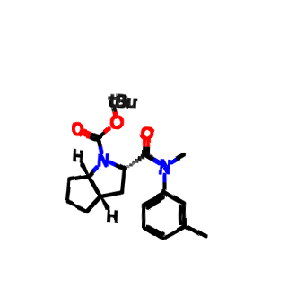 Cc1cccc(N(C)C(=O)[C@@H]2C[C@@H]3CCC[C@@H]3N2C(=O)OC(C)(C)C)c1